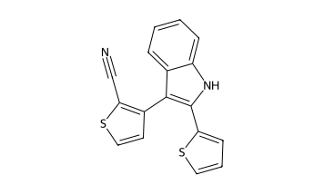 N#Cc1sccc1-c1c(-c2cccs2)[nH]c2ccccc12